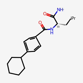 CC(C)C[C@H](NC(=O)c1ccc(C2CCCCC2)cc1)C([NH])=O